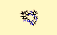 Cc1ccc(CNc2nccc(CN3CCN(c4cccc5nc(-c6ccc(C(C)(C)C)cc6)[nH]c45)CC3)n2)cc1